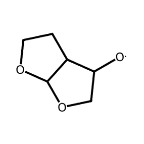 [O]C1COC2OCCC12